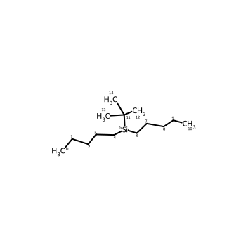 CCCCC[Si](CCCCC)C(C)(C)C